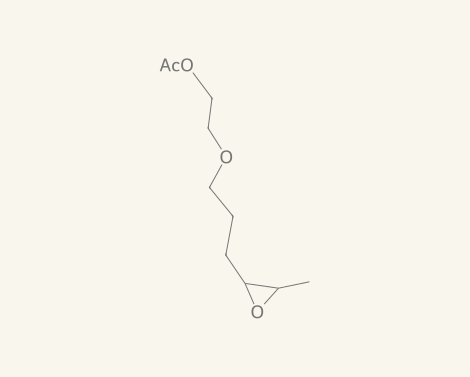 CC(=O)OCCOCCCC1OC1C